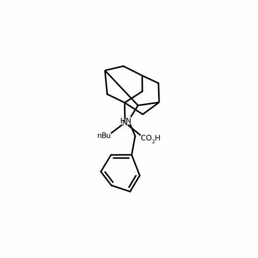 CCCCN(C(=O)O)C12CC3CC(C1)C(NCc1ccccc1)C(C3)C2